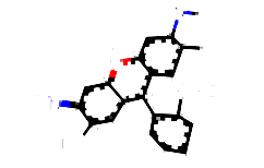 CCN=c1cc2oc3cc(NCC)c(C)cc3c(-c3ccccc3C(=O)OCC)c-2cc1C